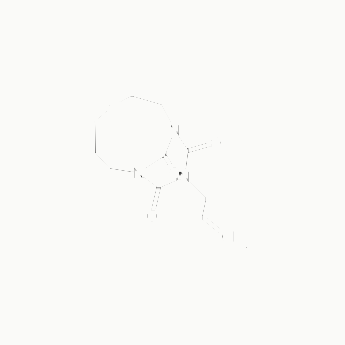 C=CCn1c(=O)n2c(=O)n(c1=O)CCCCCC2